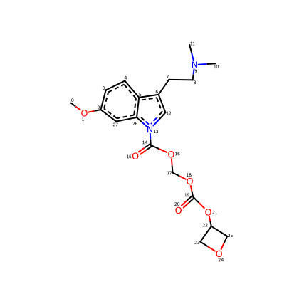 COc1ccc2c(CCN(C)C)cn(C(=O)OCOC(=O)OC3COC3)c2c1